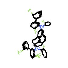 Fc1cccc(-c2ccc(F)c(N(c3cc4ccc5cc(N(c6ccccc6F)c6cc(-c7cccc(F)c7)ccc6F)cc6ccc(c3)c4c56)c3ccccc3F)c2)c1